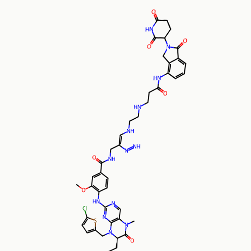 CC[C@@H]1C(=O)N(C)c2cnc(Nc3ccc(C(=O)NC/C(=C/NCCNCCC(=O)Nc4cccc5c4CN(C4CCC(=O)NC4=O)C5=O)N=N)cc3OC)nc2N1Cc1ccc(Cl)s1